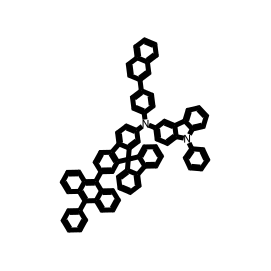 c1ccc(-c2c3ccccc3c(-c3ccc4c(c3)C3(c5ccccc5-c5ccccc53)c3cc(N(c5ccc(-c6ccc7ccccc7c6)cc5)c5ccc6c(c5)c5ccccc5n6-c5ccccc5)ccc3-4)c3ccccc23)cc1